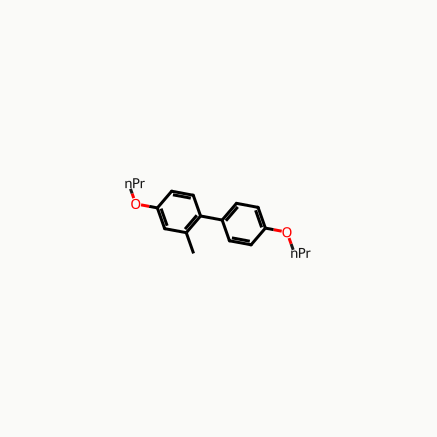 CCCOc1ccc(-c2ccc(OCCC)cc2C)cc1